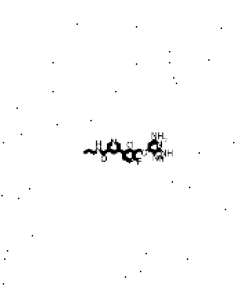 CCCNC(=O)c1cncc(-c2ccc(F)c(COc3cc(N)nc4[nH]nnc34)c2Cl)c1